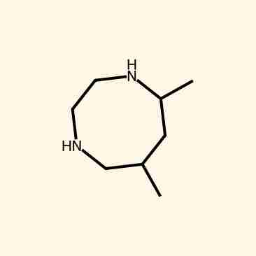 CC1CNCCNC(C)C1